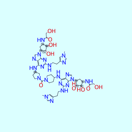 Cn1cnc(CCNc2nc(NC3CCN(C(=O)N4CC[C@@H](Nc5nc(NCCc6cn(C)cn6)nc6c5ncn6[C@@H]5C[C@H](NC(=O)CO)[C@@H](O)[C@H]5O)C4)CC3)c3ncn([C@@H]4C[C@H](NC(=O)CO)[C@@H](O)[C@H]4O)c3n2)c1